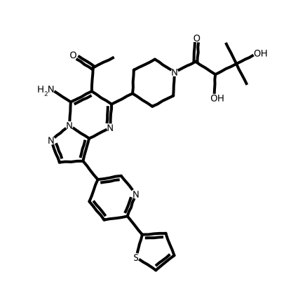 CC(=O)c1c(C2CCN(C(=O)C(O)C(C)(C)O)CC2)nc2c(-c3ccc(-c4cccs4)nc3)cnn2c1N